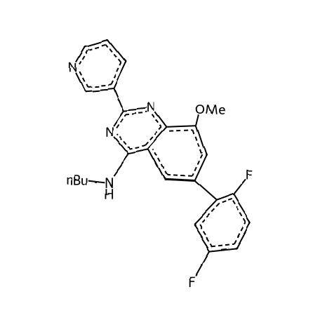 CCCCNc1nc(-c2cccnc2)nc2c(OC)cc(-c3cc(F)ccc3F)cc12